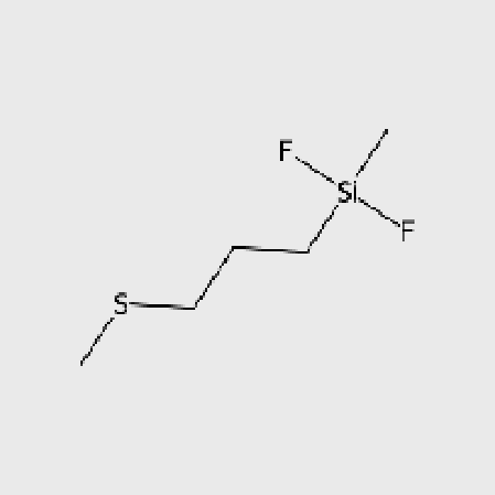 CSCCC[Si](C)(F)F